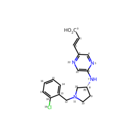 O=C(O)C=Cc1cnc(N[C@@H]2CCN(Cc3ccccc3Cl)C2)cn1